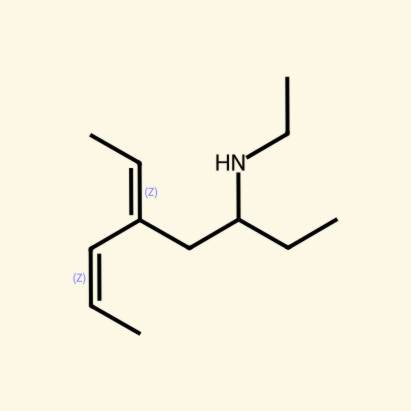 C/C=C\C(=C/C)CC(CC)NCC